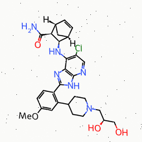 COc1ccc(-c2nc3c(N[C@H]4[C@@H](C(N)=O)[C@@H]5C=C[C@H]4C5)c(Cl)cnc3[nH]2)c(C2CCN(C[C@H](O)CO)CC2)c1